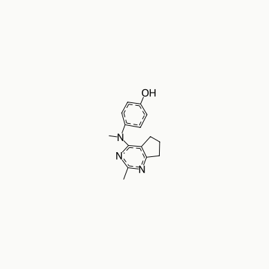 Cc1nc2c(c(N(C)c3ccc(O)cc3)n1)CCC2